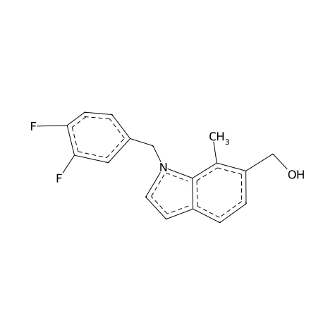 Cc1c(CO)ccc2ccn(Cc3ccc(F)c(F)c3)c12